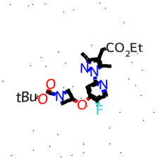 CCOC(=O)Cc1c(C)nn(-c2cc(OC3CN(C(=O)OC(C)(C)C)C3)c(F)cn2)c1C